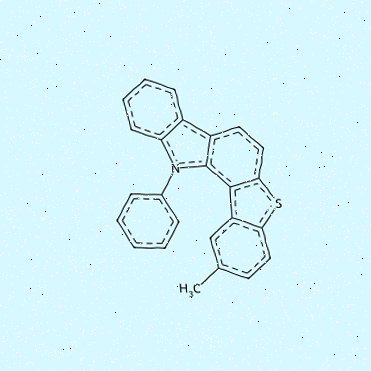 Cc1ccc2sc3ccc4c5ccccc5n(-c5ccccc5)c4c3c2c1